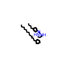 CCCCCCCCCCCCc1ccccc1.CCCCc1ccc(N=C2NCCCN2)cc1